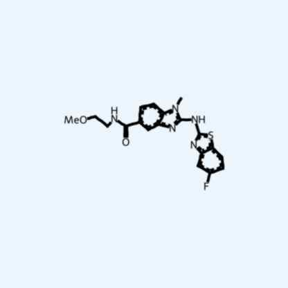 COCCNC(=O)c1ccc2c(c1)nc(Nc1nc3cc(F)ccc3s1)n2C